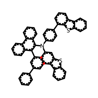 c1ccc(-c2cccc(-c3c(N(c4ccc(-c5cccc6c5sc5ccccc56)cc4)c4ccc5c(c4)sc4ccccc45)c4ccccc4c4ccccc34)c2)cc1